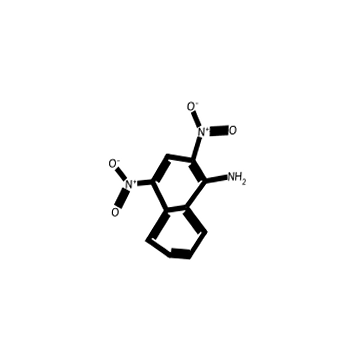 Nc1c([N+](=O)[O-])cc([N+](=O)[O-])c2ccccc12